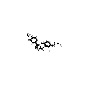 COc1ccc(Cn2c(C)nnc2-c2ccc(Br)cc2)cc1